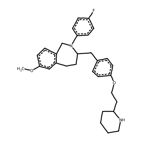 COc1ccc2c(c1)CCC(Cc1ccc(OCCC3CCCCN3)cc1)N(c1ccc(F)cc1)C2